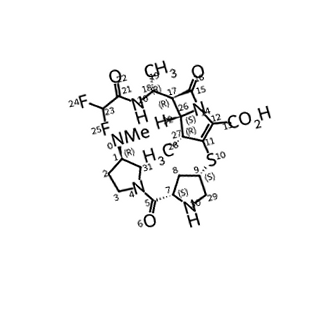 CN[C@@H]1CCN(C(=O)[C@@H]2C[C@H](SC3=C(C(=O)O)N4C(=O)[C@H]([C@@H](C)NC(=O)C(F)F)[C@H]4[C@H]3C)CN2)C1